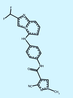 Cn1cc(C(=O)Nc2ccc(Nc3cccc4nc(C(F)F)cn34)cc2)c(C#N)n1